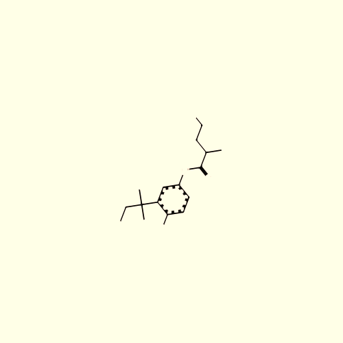 CCC(C)(C)c1cc(OC(=O)C(C)CCO)ccc1O